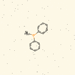 CCCCP(c1ccccc1)c1ccccc1.[Ni]